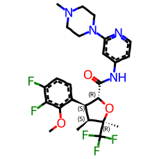 COc1c([C@H]2[C@H](C(=O)Nc3ccnc(N4CCN(C)CC4)c3)O[C@@](C)(C(F)(F)F)[C@H]2C)ccc(F)c1F